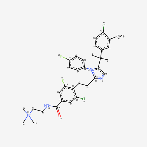 COc1cc(C(C)(C)c2cnc(CCc3c(F)cc(C(=O)NCC[N+](C)(C)C)cc3Cl)n2-c2ccc(F)cc2)ccc1Cl